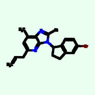 C=CCc1cc(C)c2nc(CC)n(C3CCc4cc(Br)ccc43)c2n1